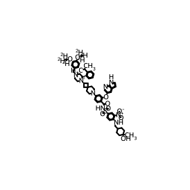 [2H]C([2H])([2H])Oc1ccc(CN2CCN(C3CC4(CCN(c5ccc(C(=O)NS(=O)(=O)c6ccc(NCC7CCC(C)(O)CC7)c([N+](=O)[O-])c6)c(Oc6cnc7[nH]ccc7c6)c5)CC4)C3)[C@H](c3ccccc3C(C)C)C2)cc1OC([2H])([2H])[2H]